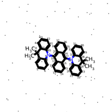 CC1(C)c2ccccc2N(c2c3ccccc3c(N3c4ccccc4C(C)(C)c4ccccc43)c3ccccc23)c2ccccc21